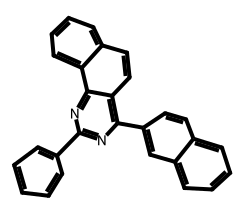 c1ccc(-c2nc(-c3ccc4ccccc4c3)c3ccc4ccccc4c3n2)cc1